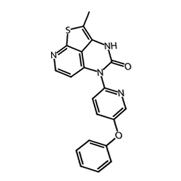 Cc1sc2nccc3c2c1NC(=O)N3c1ccc(Oc2ccccc2)cn1